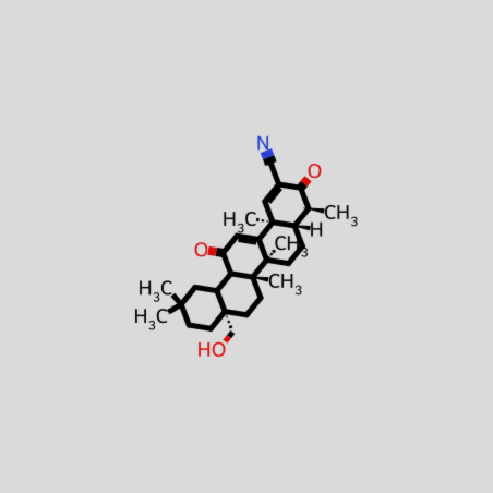 C[C@@H]1C(=O)C(C#N)=C[C@]2(C)C3=CC(=O)C4C5CC(C)(C)CC[C@]5(CO)CC[C@@]4(C)[C@]3(C)CC[C@@H]12